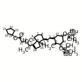 C=C1C(=CC=C2CCC[C@]3(C)C([C@H](C)OCC(=O)OC4CCCC4)=CC[C@@H]23)C[C@@H](O[Si](C)(C)C(C)(C)C)C[C@@H]1O[Si](C)(C)C(C)(C)C